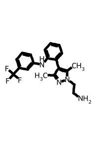 Cc1nn(CCN)c(C)c1-c1ccccc1Nc1cccc(C(F)(F)F)c1